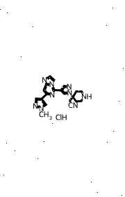 Cl.Cn1cc(-c2cc3nccn3c(-c3cnn(C4(CC#N)CCNCC4)c3)n2)cn1